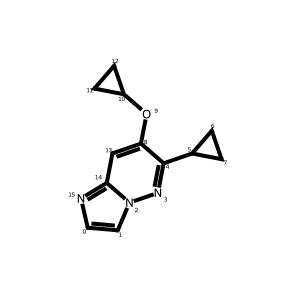 c1cn2nc(C3CC3)c(OC3CC3)cc2n1